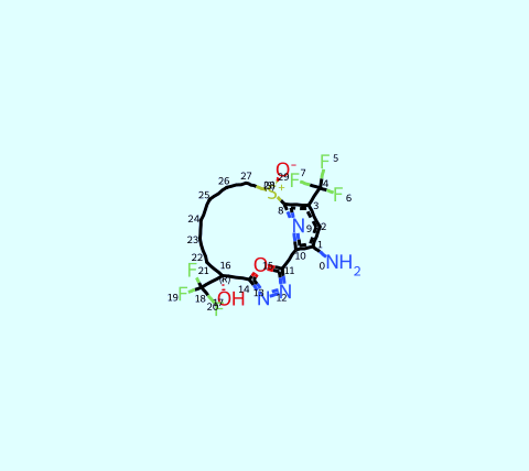 Nc1cc(C(F)(F)F)c2nc1-c1nnc(o1)[C@@](O)(C(F)(F)F)CCCCCC[S@@+]2[O-]